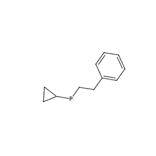 c1ccc(CC[P]C2CC2)cc1